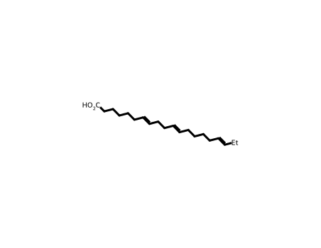 CCC=CCCCCC=CCCC=CCCCCCC(=O)O